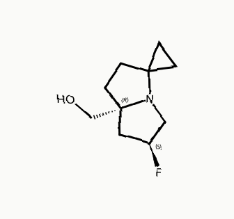 OC[C@]12CCC3(CC3)N1C[C@@H](F)C2